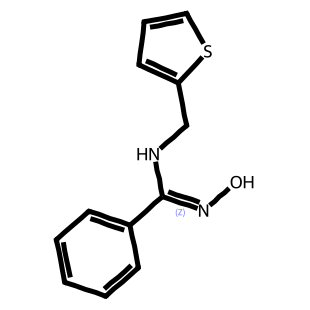 O/N=C(\NCc1cccs1)c1ccccc1